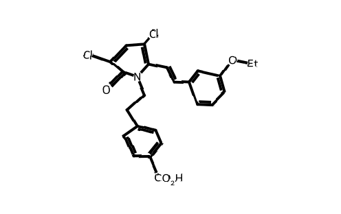 CCOc1cccc(C=Cc2c(Cl)cc(Cl)c(=O)n2CCc2ccc(C(=O)O)cc2)c1